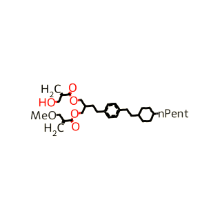 C=C(CO)C(=O)OCC(CCc1ccc(CCC2CCC(CCCCC)CC2)cc1)COC(=O)C(=C)COC